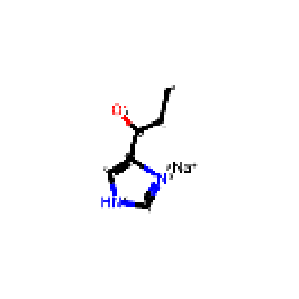 CCC([O-])c1c[nH]cn1.[Na+]